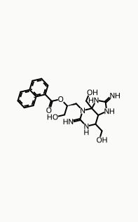 N=C1NC2C(CO)NC(=N)N(C[C@@H](CO)OC(=O)c3cccc4ccccc34)C2(CO)N1